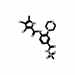 Cc1[nH]c(C(=O)Nc2ccc(C(=O)NS(C)(=O)=O)cc2N2CCOCC2)c(Cl)c1Cl